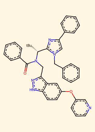 CC(C)(C)[C@H](c1nc(-c2ccccc2)cn1Cc1ccccc1)N(Cc1n[nH]c2ccc(Oc3cccnc3)cc12)C(=O)c1ccccc1